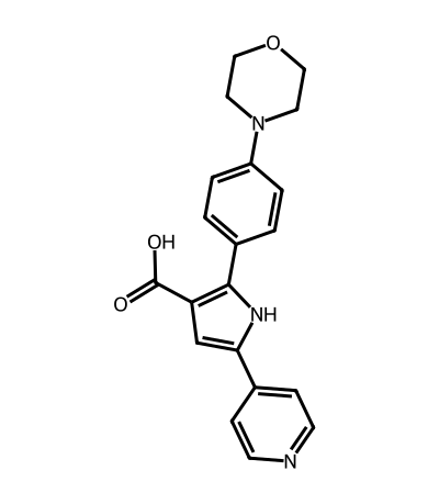 O=C(O)c1cc(-c2ccncc2)[nH]c1-c1ccc(N2CCOCC2)cc1